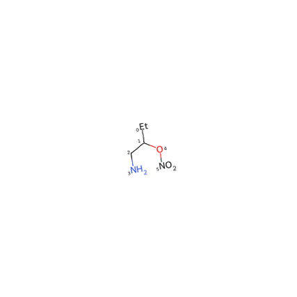 CCC(CN)O[N+](=O)[O-]